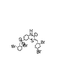 O=C1Nc2ccc(S(=O)(=O)Cc3c(Br)cccc3Br)cc2SC1=Cc1ccc(Br)cc1Br